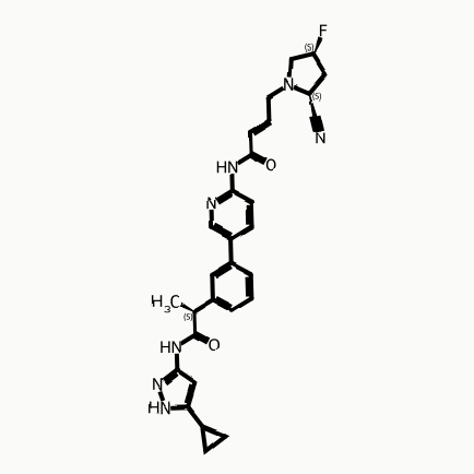 C[C@H](C(=O)Nc1cc(C2CC2)[nH]n1)c1cccc(-c2ccc(NC(=O)C=CCN3C[C@@H](F)C[C@H]3C#N)nc2)c1